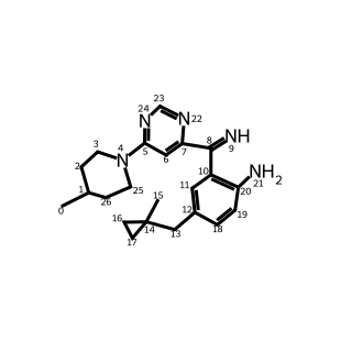 CC1CCN(c2cc(C(=N)c3cc(CC4(C)CC4)ccc3N)ncn2)CC1